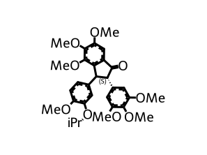 COc1ccc(C2c3c(cc(OC)c(OC)c3OC)C(=O)[C@@H]2c2cc(OC)c(OC)c(OC)c2)cc1OC(C)C